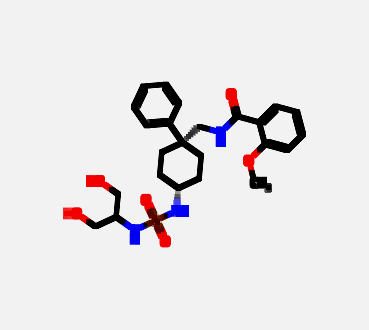 COc1ccccc1C(=O)NC[C@]1(c2ccccc2)CC[C@H](NS(=O)(=O)NC(CO)CO)CC1